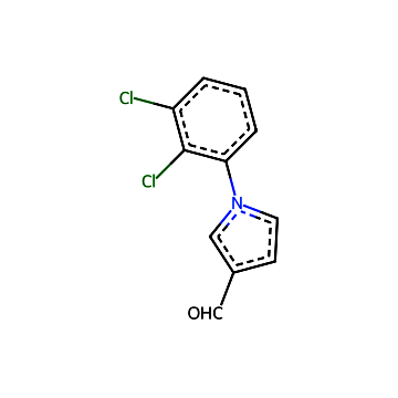 O=Cc1ccn(-c2cccc(Cl)c2Cl)c1